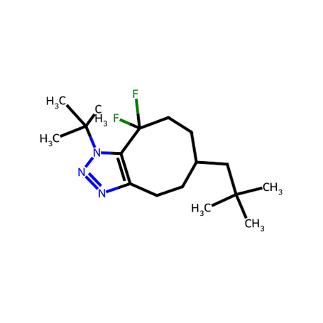 CC(C)(C)CC1CCc2nnn(C(C)(C)C)c2C(F)(F)CC1